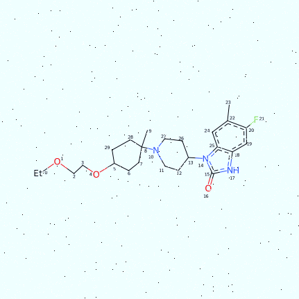 CCOCCOC1CCC(C)(N2CCC(n3c(=O)[nH]c4cc(F)c(C)cc43)CC2)CC1